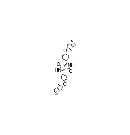 O=C1NC(c2ccc(Oc3cc4sccc4s3)cc2)=C2C(=O)NC(c3ccc(Oc4cc5sccc5s4)cc3)=C12